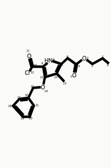 CCCOC(=O)Cc1[nH]c(C(=O)Cl)c(OCc2ccccc2)c1C